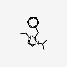 CC[n+]1ccn(C(C)C)c1Cc1ccccc1